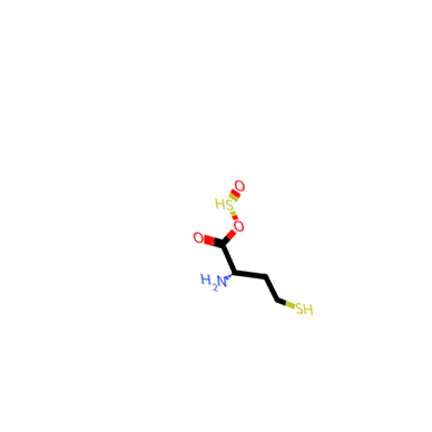 N[C@@H](CCS)C(=O)O[SH]=O